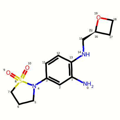 Nc1cc(N2CCCS2(=O)=O)ccc1NC[C@@H]1CCO1